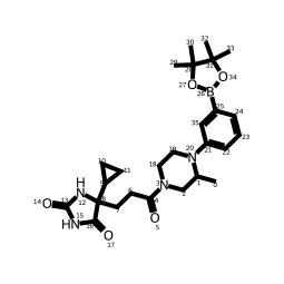 CC1CN(C(=O)CCC2(C3CC3)NC(=O)NC2=O)CCN1c1cccc(B2OC(C)(C)C(C)(C)O2)c1